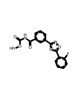 CCCOC(=O)NC(=O)c1cccc(-c2noc(-c3ccccc3F)n2)c1